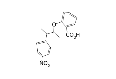 CC(Oc1ccccc1C(=O)O)C(C)c1ccc([N+](=O)[O-])cc1